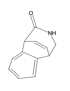 O=C1NCC2C=CC1c1ccccc12